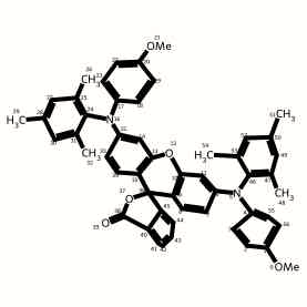 COc1ccc(N(c2ccc3c(c2)Oc2cc(N(c4ccc(OC)cc4)c4c(C)cc(C)cc4C)ccc2C32OC(=O)c3ccccc32)c2c(C)cc(C)cc2C)cc1